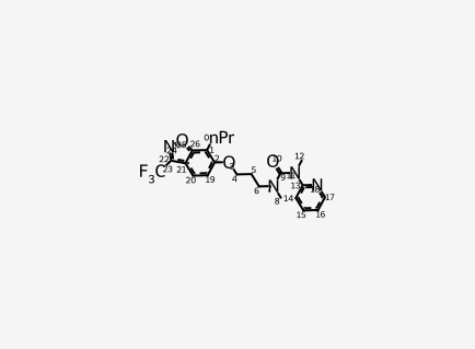 CCCc1c(OCCCN(C)C(=O)N(C)c2ccccn2)ccc2c(C(F)(F)F)noc12